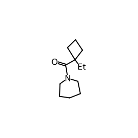 CCC1(C(=O)N2CCCCC2)CCC1